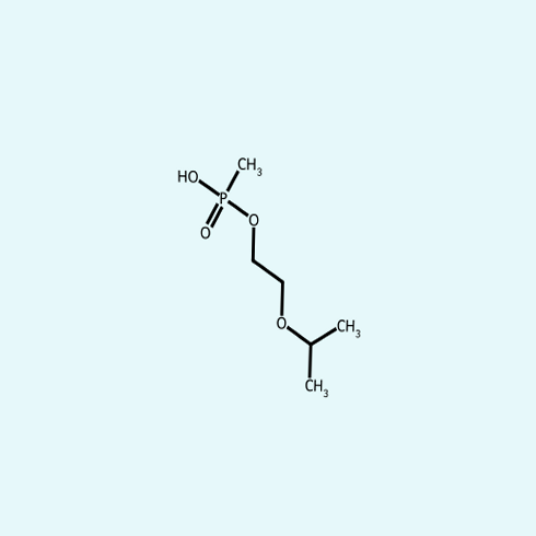 CC(C)OCCOP(C)(=O)O